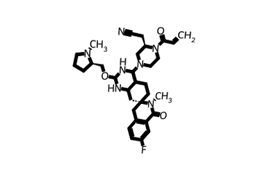 C=CC(=O)N1CCN(C2NC(OC[C@H]3CCCN3C)NC3C[C@@]4(CCC32)Cc2ccc(F)cc2C(=O)N4C)C[C@H]1CC#N